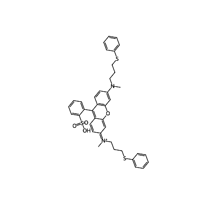 CN(CCCSc1ccccc1)c1ccc2c(-c3ccccc3S(=O)(=O)O)c3cc/c(=[N+](\C)CCCSc4ccccc4)cc-3oc2c1